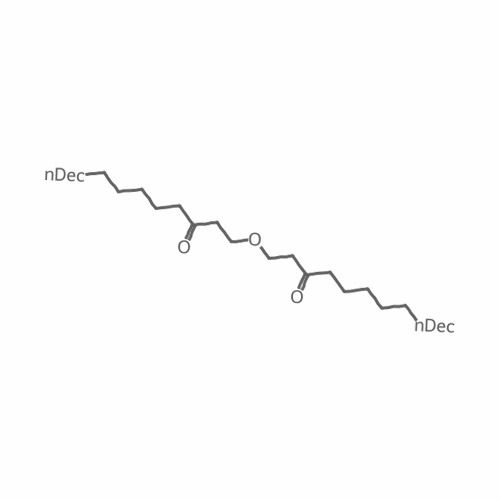 CCCCCCCCCCCCCCCC(=O)CCOCCC(=O)CCCCCCCCCCCCCCC